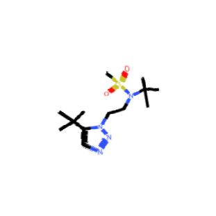 CC(C)(C)c1cnnn1CCN(C(C)(C)C)S(C)(=O)=O